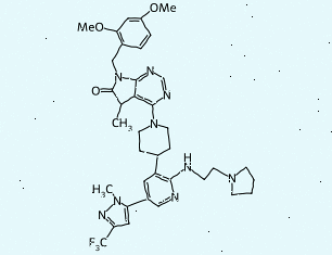 COc1ccc(CN2C(=O)C(C)c3c(N4CCC(c5cc(-c6cc(C(F)(F)F)nn6C)cnc5NCCN5CCCC5)CC4)ncnc32)c(OC)c1